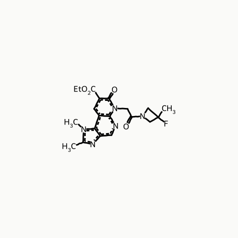 CCOC(=O)c1cc2c3c(cnc2n(CC(=O)N2CC(C)(F)C2)c1=O)nc(C)n3C